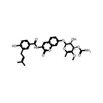 COC1=C(C)OC(Oc2ccc3cc(NC(=O)c4ccc(O)c(CC=C(C)C)c4)c(=O)oc3c2)[C@@H](O)[C@H]1OC(N)=O